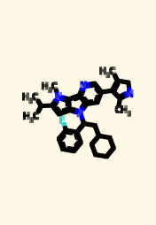 CC1=NCC(C)=C1c1cnc2c3c(cc(C(C)C)n3C)n(C(CC3CCCCC3)c3ccccc3F)c2c1